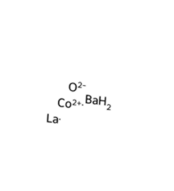 [BaH2].[Co+2].[La].[O-2]